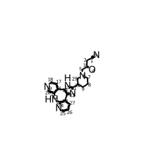 N#CCC(=O)CN1CCCC(c2nc3c([nH]2)-c2ccncc2Nc2ncccc2-3)C1